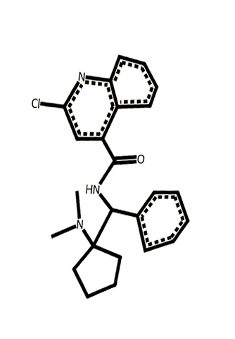 CN(C)C1(C(NC(=O)c2cc(Cl)nc3ccccc23)c2ccccc2)CCCC1